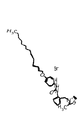 CCCCCCCCCCCCCCOc1ccc(NC(=O)Nc2ccccc2C[n+]2ccsc2C)cc1.[Br-]